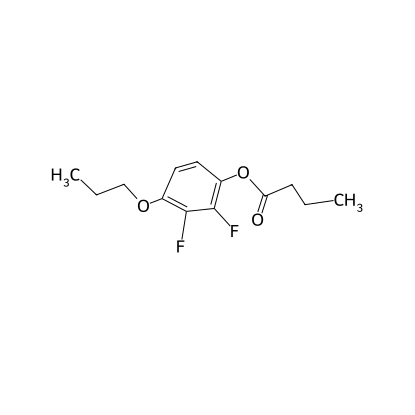 CCCOc1ccc(OC(=O)CCC)c(F)c1F